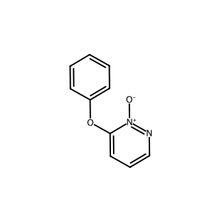 [O-][n+]1ncccc1Oc1ccccc1